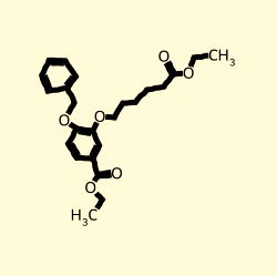 CCOC(=O)CCCCCOc1cc(C(=O)OCC)ccc1OCc1ccccc1